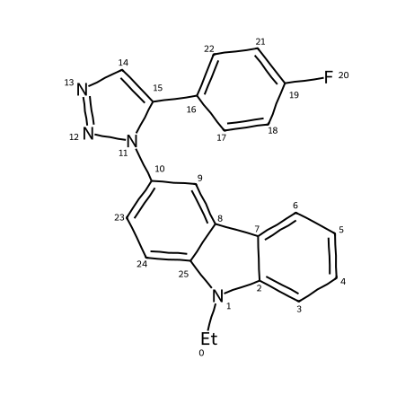 CCn1c2ccccc2c2cc(-n3nncc3-c3ccc(F)cc3)ccc21